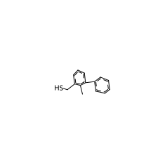 Cc1c(CS)cccc1-c1ccccc1